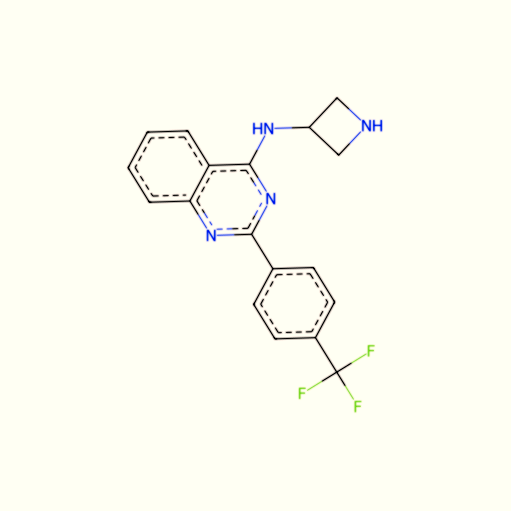 FC(F)(F)c1ccc(-c2nc(NC3CNC3)c3ccccc3n2)cc1